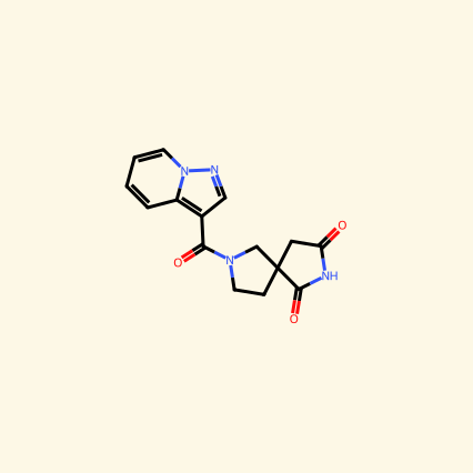 O=C1CC2(CCN(C(=O)c3cnn4ccccc34)C2)C(=O)N1